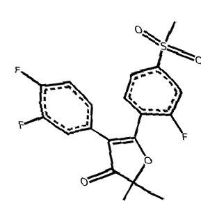 CC1(C)OC(c2ccc(S(C)(=O)=O)cc2F)=C(c2ccc(F)c(F)c2)C1=O